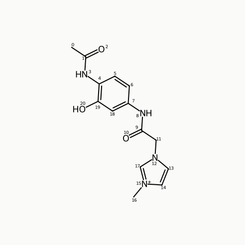 CC(=O)Nc1ccc(NC(=O)Cn2cc[n+](C)c2)cc1O